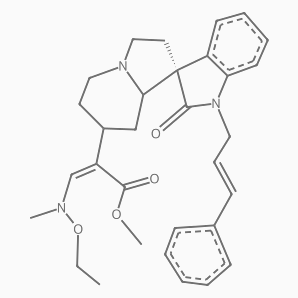 CCON(C)/C=C(\C(=O)OC)C1CCN2CC[C@]3(C(=O)N(C/C=C/c4ccccc4)c4ccccc43)C2C1